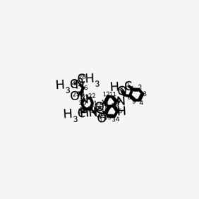 Cc1ccccc1C(=O)Nc1cccc2c(S(=O)(=O)N[C@@H]3CCN(C(=O)CN(C)C)C[C@@H]3C)cccc12